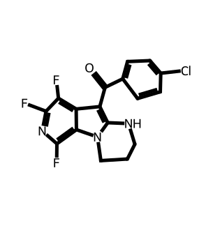 O=C(c1ccc(Cl)cc1)c1c2n(c3c(F)nc(F)c(F)c13)CCCN2